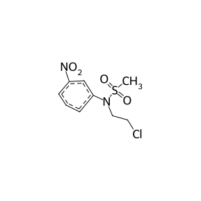 CS(=O)(=O)N(CCCl)c1cccc([N+](=O)[O-])c1